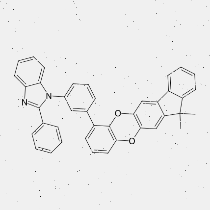 CC1(C)c2ccccc2-c2cc3c(cc21)Oc1cccc(-c2cccc(-n4c(-c5ccccc5)nc5ccccc54)c2)c1O3